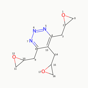 C1OC1Cc1nnnc(CC2CO2)c1CC1CO1